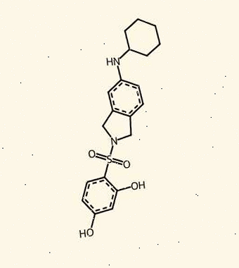 O=S(=O)(c1ccc(O)cc1O)N1Cc2ccc(NC3CCCCC3)cc2C1